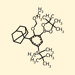 COCOc1c(B2OC(C)(C)C(C)(C)O2)cc([Si](C)(C)C(C)(C)C)cc1C12CC3CC(CC(C3)C1)C2